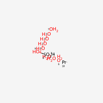 O.O.O.O.O.O.O.O.O=S(=O)(O)O.[Pr]